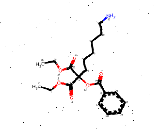 CCOC(=O)C(CCCCCCN)(OC(=O)c1ccccc1)C(=O)OCC